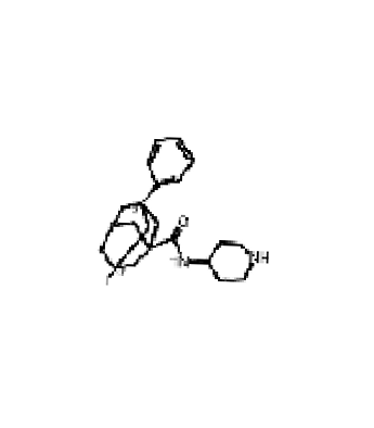 O=C(NC1CCNCC1)C12CC3C[C@@](I)(C1)C[C@](c1ccccc1)(C3)C2